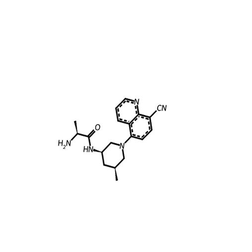 C[C@H]1C[C@@H](NC(=O)[C@H](C)N)CN(c2ccc(C#N)c3ncccc23)C1